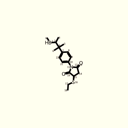 CBC(C)C(C)(C)c1ccc(N2C(=O)CC(SCC)C2=O)cc1